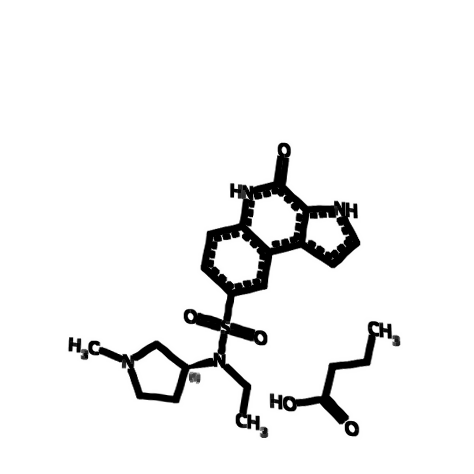 CCCC(=O)O.CCN([C@H]1CCN(C)C1)S(=O)(=O)c1ccc2[nH]c(=O)c3[nH]ccc3c2c1